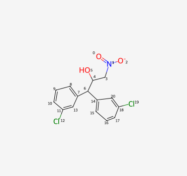 O=[N+]([O-])CC(O)C(c1cccc(Cl)c1)c1cccc(Cl)c1